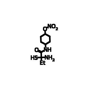 CCC(N)(S)C(=O)NC1CCC(O[N+](=O)[O-])CC1